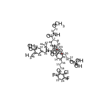 COCCNC(=O)C1CC2CC(c3ccc(CCCOc4c(F)ccc(F)c4Cl)cc3)=C(C(=O)N(Cc3ccc(OC)c(C)c3)C3CC3)C(C1)N2C(=O)OCCCCON(O)O